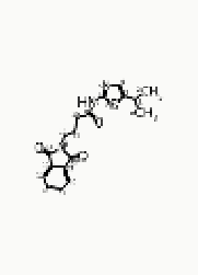 CC(C)c1cnc(NC(=O)CCCN2C(=O)c3ccccc3C2=O)s1